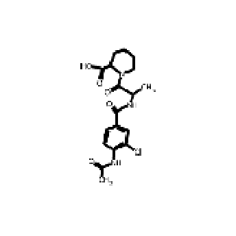 CC(=O)Nc1ccc(C(=O)NC(C)C(=O)N2CCCCC2C(=O)O)cc1Cl